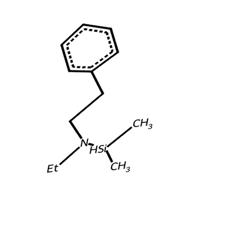 CCN(CCc1ccccc1)[SiH](C)C